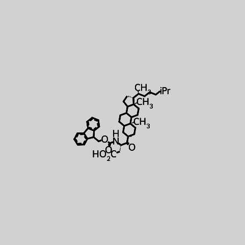 CC(C)CCC[C@@H](C)[C@H]1CCC2C3CCC4C[C](C(=O)[C@H](CC(=O)O)NC(=O)OCC5c6ccccc6-c6ccccc65)CC[C@]4(C)C3CC[C@@]21C